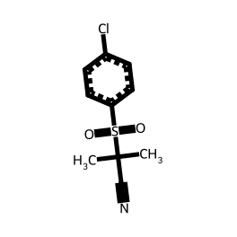 CC(C)(C#N)S(=O)(=O)c1ccc(Cl)cc1